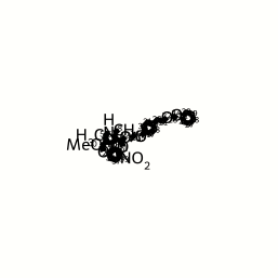 COC(=O)C1=C(C)NC(C)=C(C(=O)OCCOc2ccc(CCOCOC3CCCCC3)cc2)[C@H]1c1cccc([N+](=O)[O-])c1